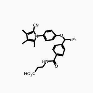 CCCC(Oc1ccc(-n2c(C)c(C)c(C)c2C#N)cc1)c1ccc(C(=O)NCCC(=O)O)cc1